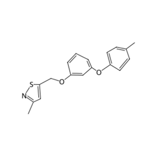 Cc1ccc(Oc2cccc(OCc3cc(C)ns3)c2)cc1